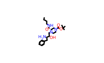 CCCCNC(=O)[C@@H]1CN(C(=O)OC(C)(C)C)CCN1C[C@@H](O)[C@@H](N)Cc1ccccc1